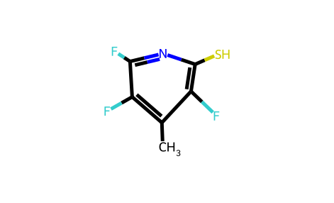 Cc1c(F)c(F)nc(S)c1F